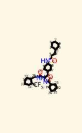 O=C(C=Cc1ccccc1)Nc1ccc(-c2oc(-c3ccccc3)nc2C(=O)NCc2ccccc2C(F)(F)F)cc1